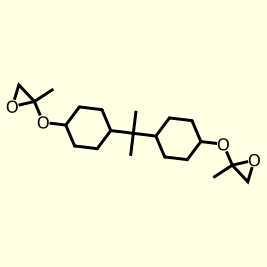 CC1(OC2CCC(C(C)(C)C3CCC(OC4(C)CO4)CC3)CC2)CO1